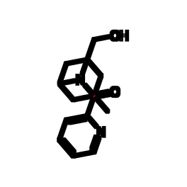 CC1CC2CC(CO)(C1)N2C(=O)c1ccccn1